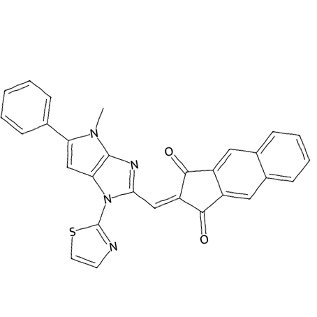 Cn1c(-c2ccccc2)cc2c1nc(C=C1C(=O)c3cc4ccccc4cc3C1=O)n2-c1nccs1